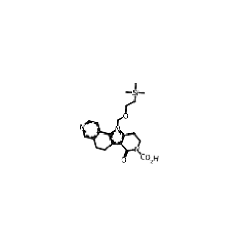 C[Si](C)(C)CCOCn1c2c(c3c1-c1ccncc1CC3)C(=O)N(C(=O)O)CC2